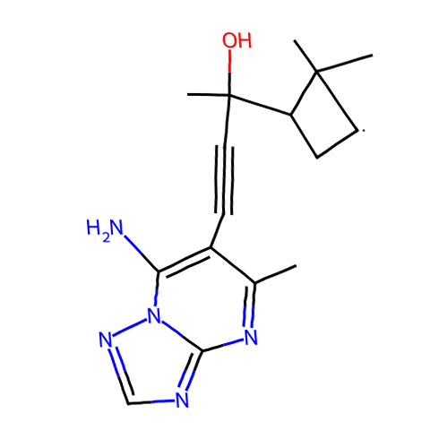 Cc1nc2ncnn2c(N)c1C#CC(C)(O)C1C[CH]C1(C)C